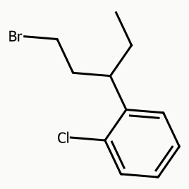 CCC(CCBr)c1ccccc1Cl